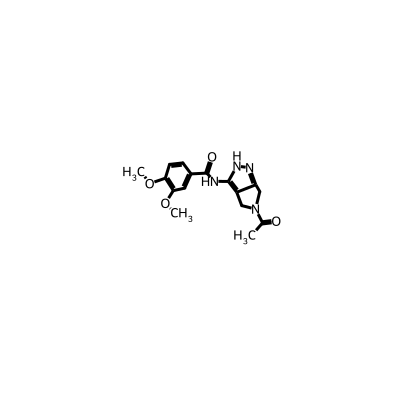 COc1ccc(C(=O)Nc2[nH]nc3c2CN(C(C)=O)C3)cc1OC